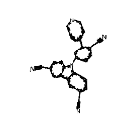 N#Cc1ccc2c(c1)c1cc(C#N)ccc1n2-c1ccc(C#N)c(-c2ccncc2)c1